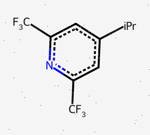 CC(C)c1cc(C(F)(F)F)nc(C(F)(F)F)c1